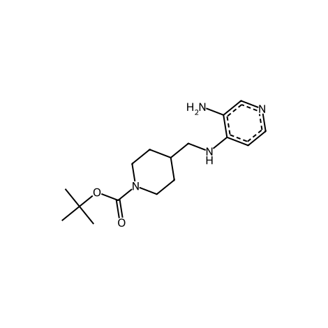 CC(C)(C)OC(=O)N1CCC(CNc2ccncc2N)CC1